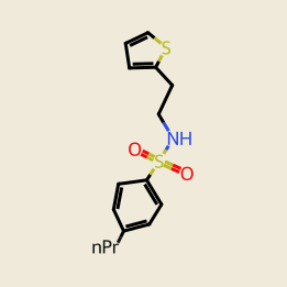 CCCc1ccc(S(=O)(=O)NCCc2cccs2)cc1